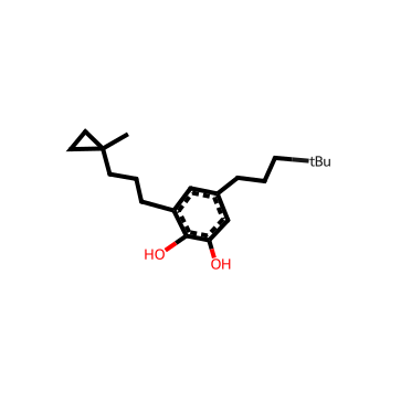 CC(C)(C)CCCc1cc(O)c(O)c(CCCC2(C)CC2)c1